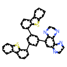 c1ccc2c(c1)sc1c(-c3cc(-c4cc5nccnc5c5nccnc45)cc(-c4cccc5c4sc4ccccc45)c3)cccc12